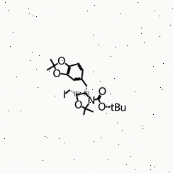 CC(C)(C)OC(=O)N1[C@@H](Cc2ccc3c(c2)OC(C)(C)O3)[C@@H](CI)OC1(C)C